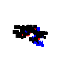 CSCC(NC(=O)CNC(=O)[C@H](CC(C)C)NC(=O)C1CCCN1C(=O)COCCNC(=O)[C@@H](CCC(=O)O)NC(=O)[C@@H](CCC(=O)O)NC(=O)[C@@H](CCC(=O)O)NC(=O)[C@@H](CCC(=O)O)NC(=O)[C@H](N)CCC(=O)O)C(=O)N[C@@H](C)C(=O)NCC(=O)N[C@@H](C)CCCNC(=N)N